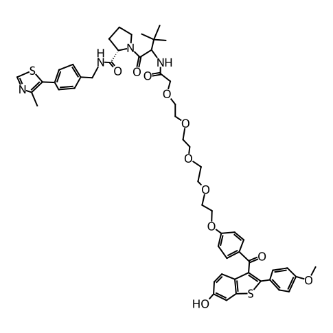 COc1ccc(-c2sc3cc(O)ccc3c2C(=O)c2ccc(OCCOCCOCCOCCOCC(=O)NC(C(=O)N3CCC[C@H]3C(=O)NCc3ccc(-c4scnc4C)cc3)C(C)(C)C)cc2)cc1